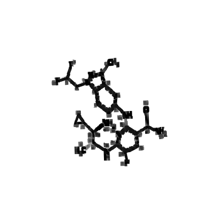 Cc1nn(CC(F)F)c2ccc(Nc3nc(N[C@H](C)[C@H](N)C4CC4)c(F)cc3C(N)=O)cc12